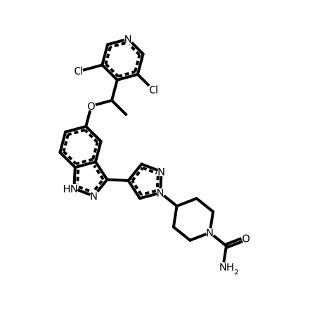 CC(Oc1ccc2[nH]nc(-c3cnn(C4CCN(C(N)=O)CC4)c3)c2c1)c1c(Cl)cncc1Cl